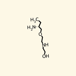 CC[C@@H](N)COCCNCCO